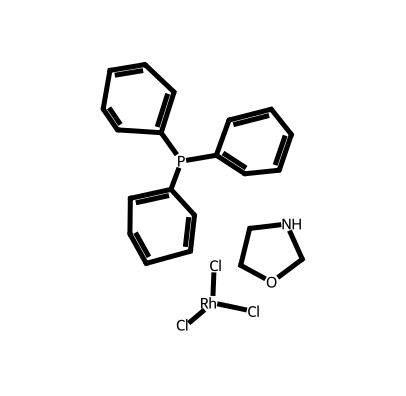 C1COCN1.[Cl][Rh]([Cl])[Cl].c1ccc(P(c2ccccc2)c2ccccc2)cc1